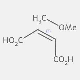 COC.O=C(O)/C=C\C(=O)O